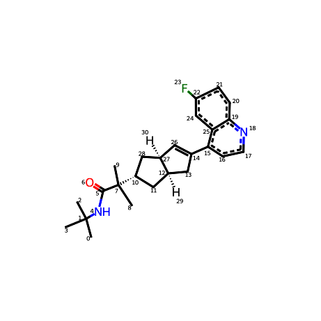 CC(C)(C)NC(=O)C(C)(C)[C@H]1C[C@@H]2CC(c3ccnc4ccc(F)cc34)=C[C@@H]2C1